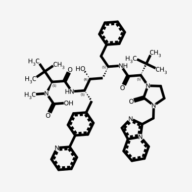 CN(C(=O)O)[C@H](C(=O)N[C@@H](Cc1ccc(-c2ccccn2)cc1)[C@H](O)C[C@H](Cc1ccccc1)NC(=O)[C@@H](N1CCN(Cc2ncc3ccccn23)C1=O)C(C)(C)C)C(C)(C)C